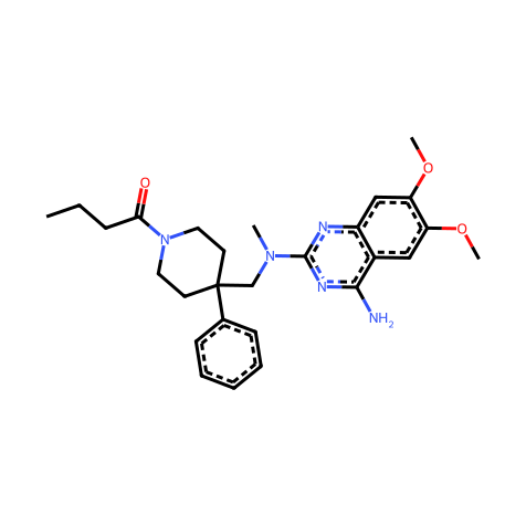 CCCC(=O)N1CCC(CN(C)c2nc(N)c3cc(OC)c(OC)cc3n2)(c2ccccc2)CC1